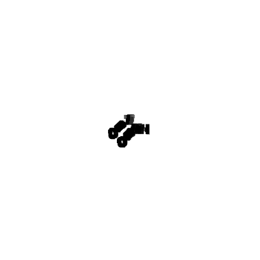 [O]=[BiH].[O]=[Ti]